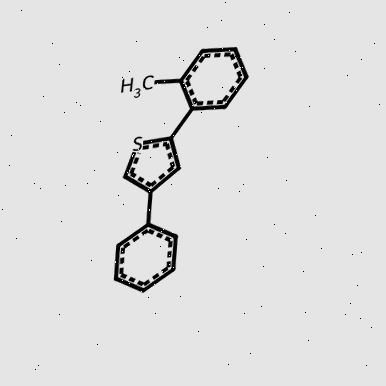 Cc1ccccc1-c1cc(-c2ccccc2)cs1